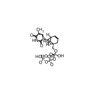 Cc1cn([C@@H]2O[C@@]3(COP(=O)(O)OP(=O)(O)OP(=O)(O)O)CC=C[C@@H]2[C@@H]3O)c(=O)[nH]c1=O